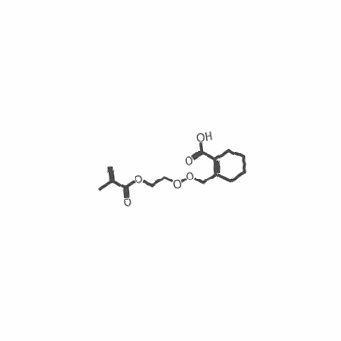 C=C(C)C(=O)OCCOOCC1=C(C(=O)O)CCCC1